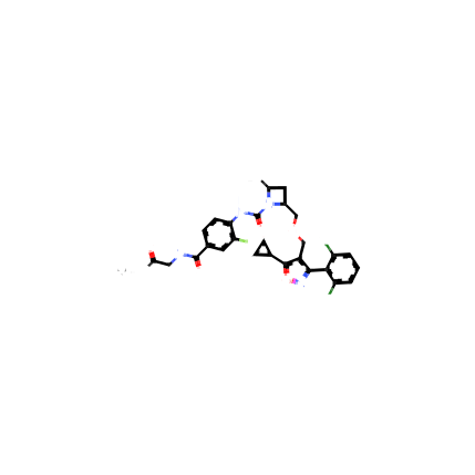 CCC1CC(COCc2c(-c3c(Cl)cccc3Cl)noc2C2CC2)N1C(=O)Nc1ccc(C(=O)NCC(=O)OC)cc1F